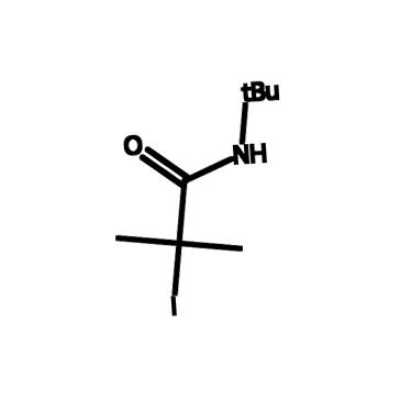 CC(C)(C)NC(=O)C(C)(C)I